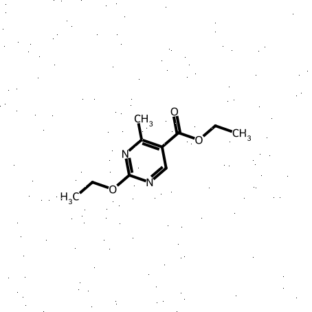 CCOC(=O)c1cnc(OCC)nc1C